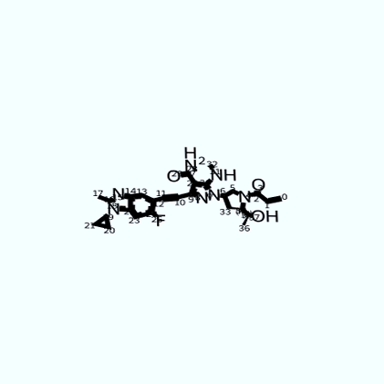 C=CC(=O)N1CC(n2nc(C#Cc3cc4nc(C)n(C5CC5)c4cc3F)c(C(N)=O)c2NC)C[C@@H]1[C@H](C)O